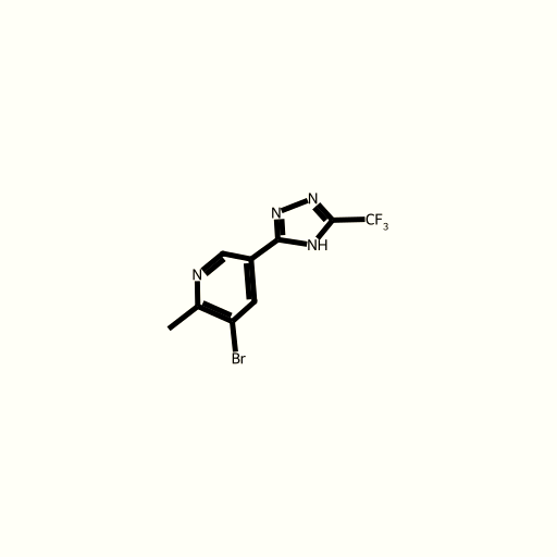 Cc1ncc(-c2nnc(C(F)(F)F)[nH]2)cc1Br